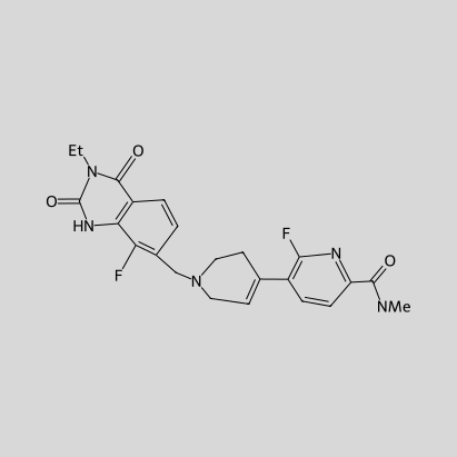 CCn1c(=O)[nH]c2c(F)c(CN3CC=C(c4ccc(C(=O)NC)nc4F)CC3)ccc2c1=O